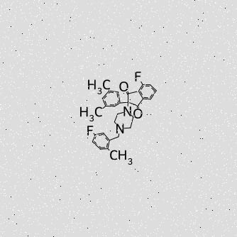 Cc1cc(C)cc(C2(N3CCN(Cc4cc(F)ccc4C)CC3)C(=O)c3cccc(F)c3C2=O)c1